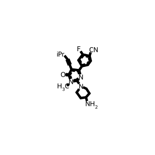 CC(C)C#Cc1c(-c2ccc(C#N)c(F)c2)nc(N2CCC(N)CC2)n(C)c1=O